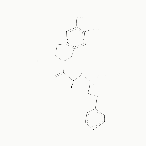 CCOC(=O)[C@H](CCc1ccccc1)N[C@@H](C)C(=O)N1Cc2cc(OC)c(OC)cc2C[C@H]1C(=O)O.[MgH2]